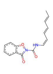 C/C=C/C=C/C=C\NC(=O)n1oc2ccccc2c1=O